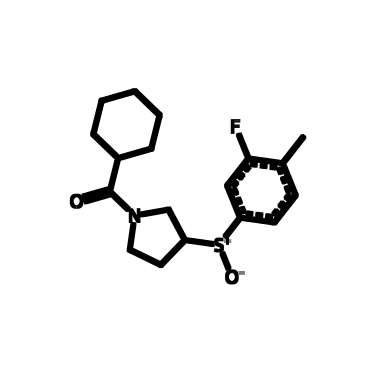 Cc1ccc([S+]([O-])C2CCN(C(=O)C3CCCCC3)C2)cc1F